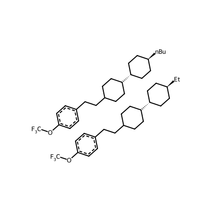 CCCC[C@H]1CC[C@H](C2CCC(CCc3ccc(OC(F)(F)F)cc3)CC2)CC1.CC[C@H]1CC[C@H](C2CCC(CCc3ccc(OC(F)(F)F)cc3)CC2)CC1